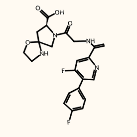 C=C(NCC(=O)N1CC2(C[C@H]1C(=O)O)NCCO2)c1cc(F)c(-c2ccc(F)cc2)cn1